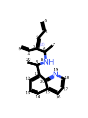 C=C/C=C(/C=C)C(C)NC(C)c1cccc2cccnc12